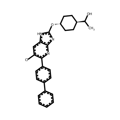 CC(O)[C@H]1CC[C@H](Oc2nc3nc(-c4ccc(-c5ccccc5)cc4)c(Cl)cc3[nH]2)CC1